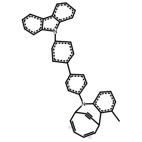 Cc1cccc2c1C1C#CC(/C=C\C=C/1)N2c1ccc(-c2ccc(-n3c4ccccc4c4ccccc43)cc2)cc1